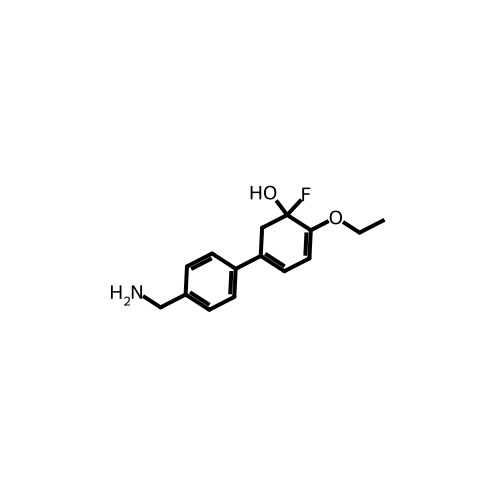 CCOC1=CC=C(c2ccc(CN)cc2)CC1(O)F